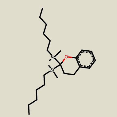 CCCCCC[Si](C)(C)C1([Si](C)(C)CCCCCC)CCc2ccccc2O1